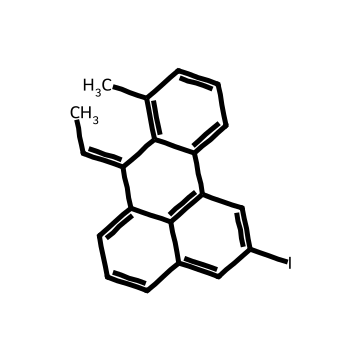 C/C=c1/c2cccc3cc(I)cc(c4cccc(C)c14)c32